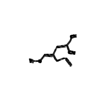 C=CC/C(C=C(C#N)C#N)=C\OCC